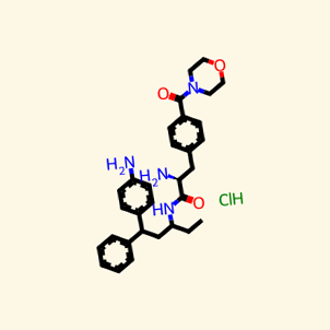 CCC(CC(c1ccccc1)c1ccc(N)cc1)NC(=O)[C@@H](N)Cc1ccc(C(=O)N2CCOCC2)cc1.Cl